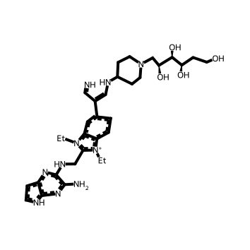 CCn1c(CNc2nc3cc[nH]c3nc2N)[n+](CC)c2ccc(/C(C=N)=C/NC3CCN(C[C@H](O)[C@@H](O)[C@H](O)CCO)CC3)cc21